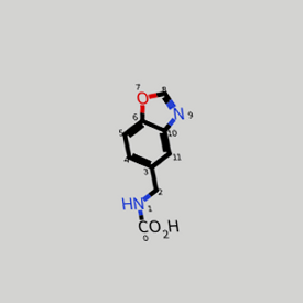 O=C(O)NCc1ccc2ocnc2c1